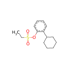 CCS(=O)(=O)Oc1ccccc1C1CCCCC1